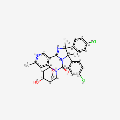 CCOc1cc(C(C)(C)C)ncc1C1=NC(C)(c2ccc(Cl)cc2)C(C)(c2ccc(Cl)cc2)N1C(=O)N1CCC(O)CC1